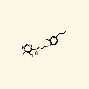 CCCc1ccc(OCCCNc2ncnc(C)c2Cl)c(C)c1